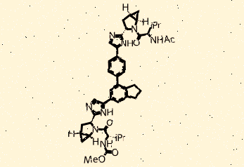 COC(=O)N[C@H](C(=O)N1[C@@H]2C[C@@H]2C[C@H]1c1ncc(-c2cc3c(c(-c4ccc(-c5cnc([C@@H]6C[C@H]7C[C@H]7N6C(=O)C(NC(C)=O)C(C)C)[nH]5)cc4)c2)CCC3)[nH]1)C(C)C